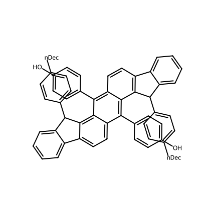 CCCCCCCCCCc1ccc(C2c3ccccc3-c3ccc4c(-c5ccc(O)cc5)c5c6c(ccc5c(-c5ccc(O)cc5)c4c32)-c2ccccc2C6c2ccc(CCCCCCCCCC)cc2)cc1